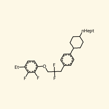 CCCCCCCC1CCC(c2ccc(CC(F)(F)COc3ccc(CC)c(F)c3F)cc2)CC1